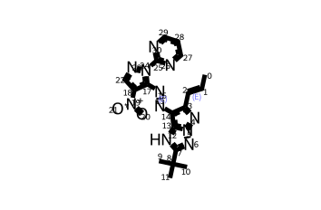 C/C=C/c1nn2nc(C(C)(C)C)[nH]c2c1/N=N/c1c([N+](=O)[O-])cnn1-c1ncccn1